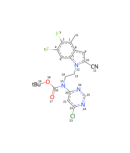 Cc1c(F)c(F)cc2c1cc(C#N)n2CCN(C(=O)OC(C)(C)C)c1cc(Cl)ncn1